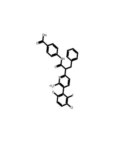 Cc1nc(C(Cc2ccccc2)C(=O)Nc2ccc(C(=O)O)cc2)ccc1-c1c(F)ccc(Cl)c1F